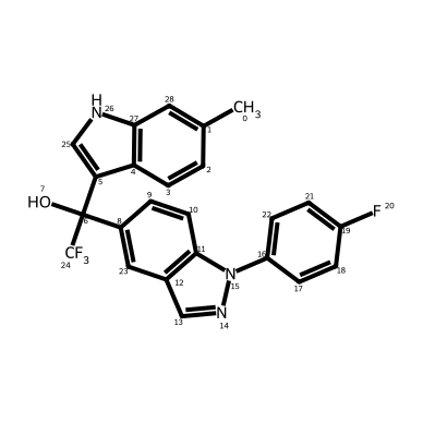 Cc1ccc2c(C(O)(c3ccc4c(cnn4-c4ccc(F)cc4)c3)C(F)(F)F)c[nH]c2c1